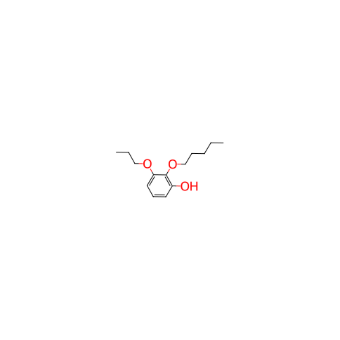 CCCCCOc1c(O)cccc1OCCC